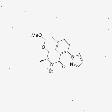 CCN(C(=O)c1cc(C)ccc1-n1nccn1)[C@@H](C)COCOC